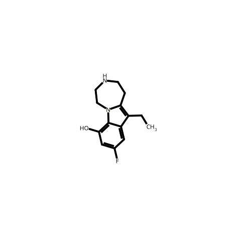 CCc1c2n(c3c(O)cc(F)cc13)CCNCC2